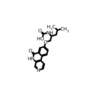 CC(C)CC(COc1ccc2c(c1)c(=O)[nH]c1cnccc12)NC(=O)O